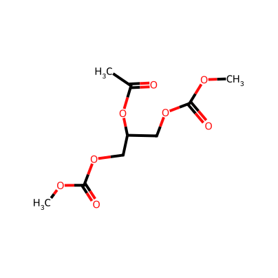 COC(=O)OCC(COC(=O)OC)OC(C)=O